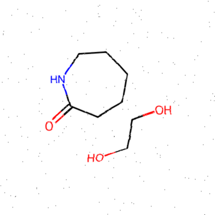 O=C1CCCCCN1.OCCO